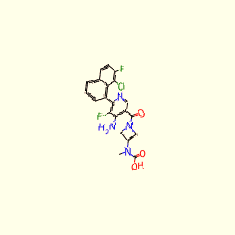 CN(C(=O)O)C1CN(C(=O)c2cnc(-c3cccc4ccc(F)c(Cl)c34)c(F)c2N)C1